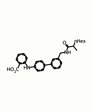 CCCCCCC(C)C(=O)NCc1cccc(-c2ccc(Nc3ccccc3C(=O)O)cc2)c1